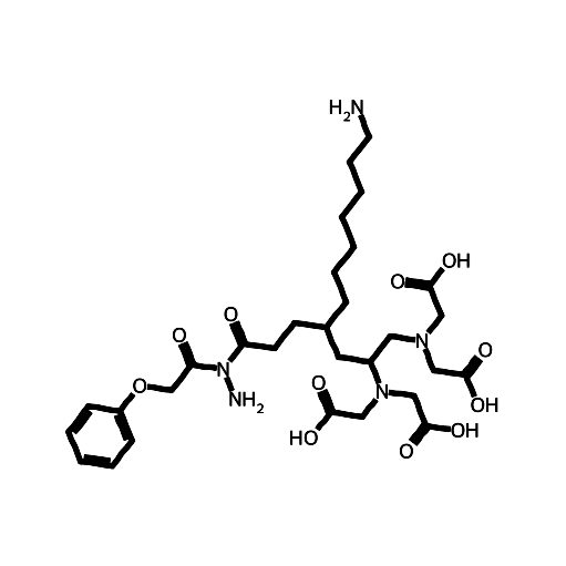 NCCCCCCCC(CCC(=O)N(N)C(=O)COc1ccccc1)CC(CN(CC(=O)O)CC(=O)O)N(CC(=O)O)CC(=O)O